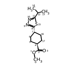 COC(=O)[C@H]1CC[C@H](c2nnc(C(C)C)s2)CC1